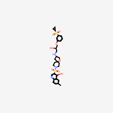 Cc1ccc2ncc(S(=O)(=O)N3CCC4(CC3)CC(NCC(O)COc3cccc(S(=O)(=O)C5CC5)c3)CO4)c(O)c2c1